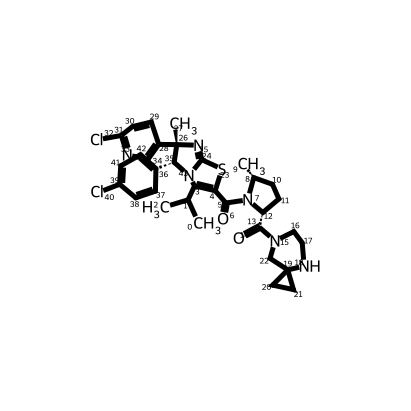 CC(C)C1=C(C(=O)N2[C@H](C)CC[C@@H]2C(=O)N2CCNC3(CC3)C2)SC2=N[C@@](C)(c3ccc(Cl)nc3)[C@@H](c3ccc(Cl)cc3)N21